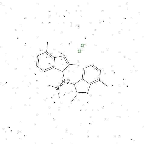 CC1=Cc2c(C)cccc2[CH]1[Hf+2]([CH]1C(C)=Cc2c(C)cccc21)=[Si](C)C.[Cl-].[Cl-]